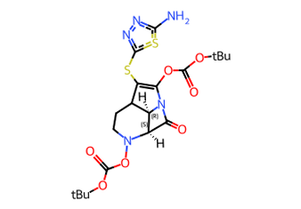 CC(C)(C)OC(=O)OC1=C(Sc2nnc(N)s2)C2CCN(OC(=O)OC(C)(C)C)[C@@H]3C(=O)N1[C@H]23